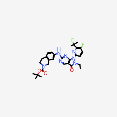 CCn1c(=O)c2cnc(Nc3ccc4c(c3)CN(C(=O)OC(C)(C)C)CC4)nc2n1-c1ccc(F)c(C(C)(C)F)n1